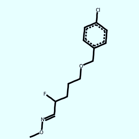 CON=CC(F)CCCOCc1ccc(Cl)cc1